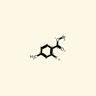 Cc1ccc(C(=O)OBr)c(F)c1